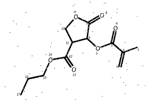 C=C(C)C(=O)OC1C(=O)OCC1C(=O)OCCC